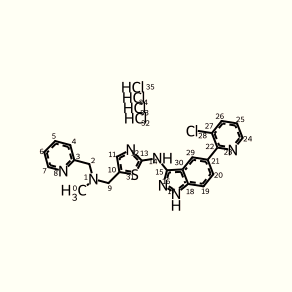 CN(Cc1ccccn1)Cc1cnc(Nc2n[nH]c3ccc(-c4ncccc4Cl)cc23)s1.Cl.Cl.Cl.Cl